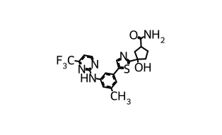 Cc1cc(Nc2nccc(C(F)(F)F)n2)cc(-c2cnc(C3(O)CCC(C(N)=O)C3)s2)c1